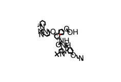 C[C@H]1CCCCN1c1nnc2ccc(O[C@@H]3CC[C@H](NC(=O)Nc4cc(C(C)(C)C)nn4-c4cc(OCCN(C)C)ccc4F)c4ccccc43)cn12.O=CO